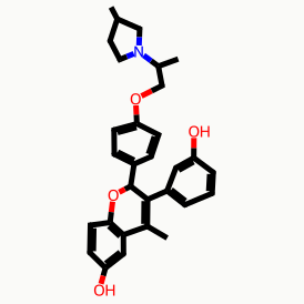 CC1=C(c2cccc(O)c2)C(c2ccc(OCC(C)N3CCC(C)C3)cc2)Oc2ccc(O)cc21